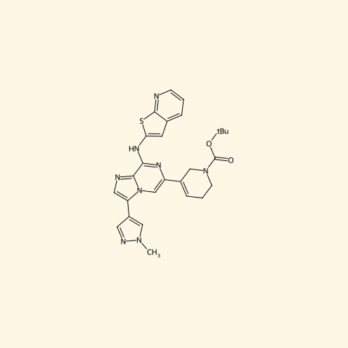 Cn1cc(-c2cnc3c(Nc4cc5cccnc5s4)nc(C4=CCCN(C(=O)OC(C)(C)C)C4)cn23)cn1